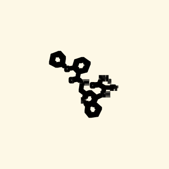 CC(C)C(Nc1cc(CNC(=O)c2ccccc2Oc2ccccc2)nc2ccccc12)C(N)=O